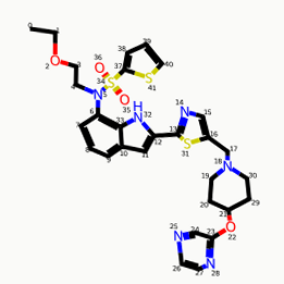 CCOCCN(c1cccc2cc(-c3ncc(CN4CCC(Oc5cnccn5)CC4)s3)[nH]c12)S(=O)(=O)c1cccs1